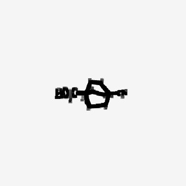 CCOC(=O)C12CCC(C#N)(CC1)CC2